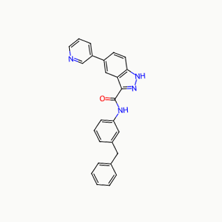 O=C(Nc1cccc(Cc2ccccc2)c1)c1n[nH]c2ccc(-c3cccnc3)cc12